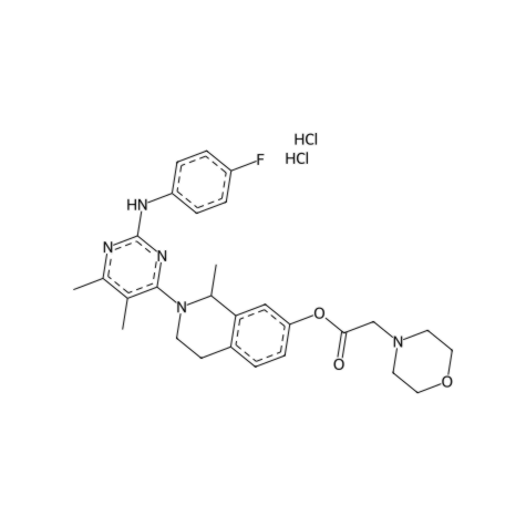 Cc1nc(Nc2ccc(F)cc2)nc(N2CCc3ccc(OC(=O)CN4CCOCC4)cc3C2C)c1C.Cl.Cl